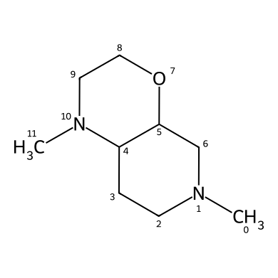 CN1CCC2C(C1)OCCN2C